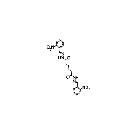 O=C(CCCCC(=O)N/N=C/c1ccccc1[N+](=O)[O-])N/N=C/c1ccccc1[N+](=O)[O-]